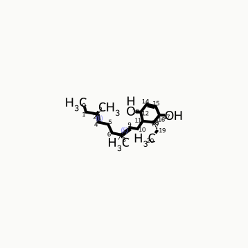 CC/C(C)=C/CC/C(C)=C/CC1C(O)C=CC(O)[C@@H]1CC